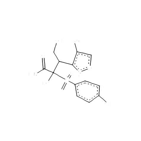 CCCCc1conc1C(CO)C(C)(C(N)=O)S(=O)(=O)c1ccc(Cl)cc1